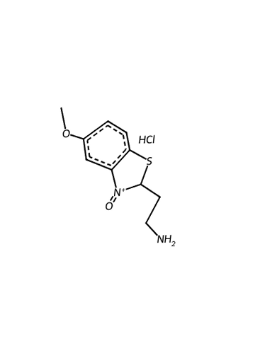 COc1ccc2c(c1)[N+](=O)C(CCN)S2.Cl